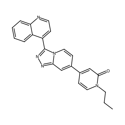 CCCn1ccc(-c2ccn3c(-c4ccnc5ccccc45)nnc3c2)cc1=O